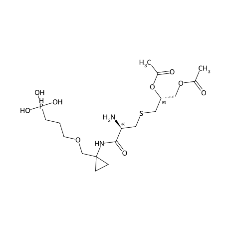 CC(=O)OC[C@H](CSC[C@H](N)C(=O)NC1(COCCC[PH](O)(O)O)CC1)OC(C)=O